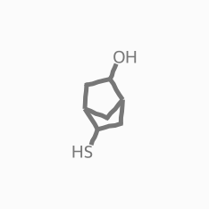 OC1CC2CC1CC2S